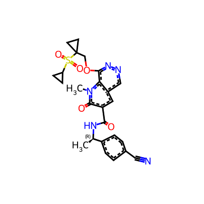 C[C@@H](NC(=O)c1cc2cnnc(OCC3(S(=O)(=O)C4CC4)CC3)c2n(C)c1=O)c1ccc(C#N)cc1